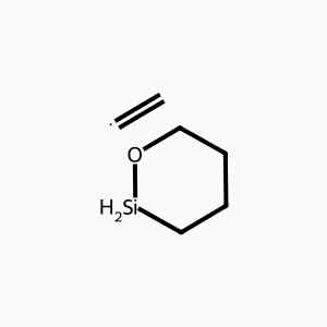 C1CC[SiH2]OC1.[CH]=C